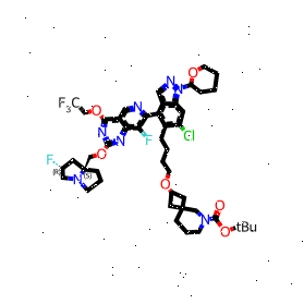 CC(C)(C)OC(=O)N1CCCC2(CC(OCCCCc3c(Cl)cc4c(cnn4C4CCCCO4)c3-c3ncc4c(OCC(F)(F)F)nc(OC[C@@]56CCCN5C[C@H](F)C6)nc4c3F)C2)C1